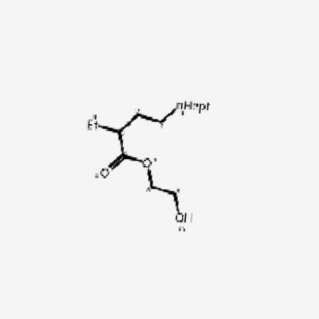 [CH2]CCCCCCCCC(CC)C(=O)OCCO